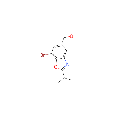 CC(C)c1nc2cc(CO)cc(Br)c2o1